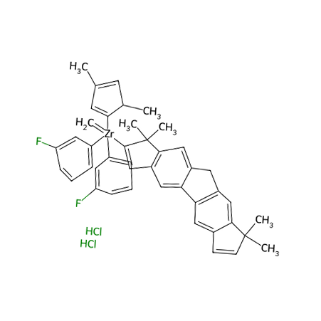 Cl.Cl.[CH2]=[Zr]([C]1=CC(C)=CC1C)([C]1=Cc2cc3c(cc2C1(C)C)Cc1cc2c(cc1-3)C=CC2(C)C)([c]1cccc(F)c1)[c]1cccc(F)c1